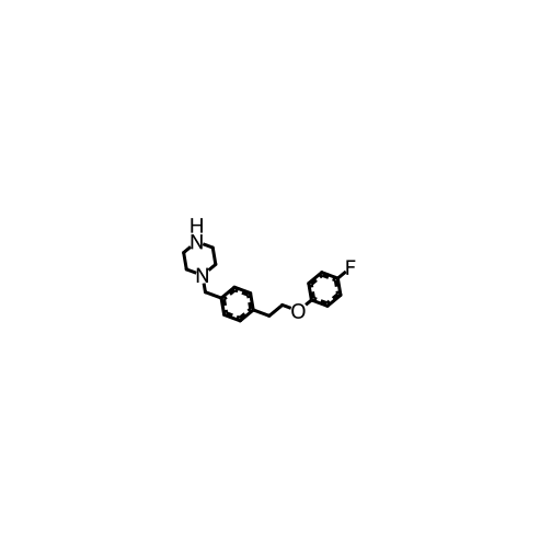 Fc1ccc(OCCc2ccc(CN3CCNCC3)cc2)cc1